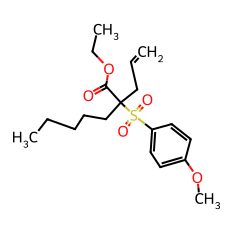 C=CCC(CCCCC)(C(=O)OCC)S(=O)(=O)c1ccc(OC)cc1